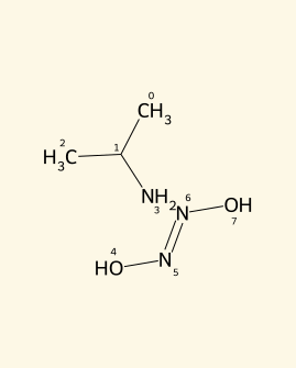 CC(C)N.ON=NO